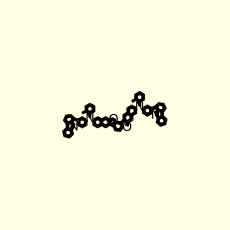 Cc1ccccc1N(c1ccc2cc3c(cc2c1)oc1c3ccc2oc3cc4cc(N(c5ccc6c(c5)c5cccc7c8ccccc8n6c75)c5ccccc5C)ccc4cc3c21)c1ccc2c(c1)c1cccc3c4ccccc4n2c31